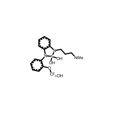 CNCCCN1c2ccccc2N(c2ccccc2OC(F)(F)F)S1(O)O.Cl